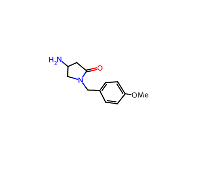 COc1ccc(CN2CC(N)CC2=O)cc1